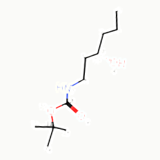 CCC[C@H](O)CCNC(=O)OC(C)(C)C